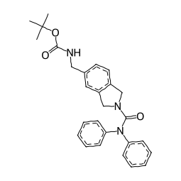 CC(C)(C)OC(=O)NCc1ccc2c(c1)CN(C(=O)N(c1ccccc1)c1ccccc1)C2